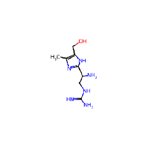 Cc1nc(C(N)CNC(=N)N)[nH]c1CO